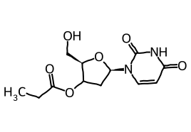 CCC(=O)OC1C[C@H](n2ccc(=O)[nH]c2=O)O[C@@H]1CO